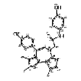 Cc1sc2c(c1C)C(c1ccc(Cl)cc1)=CN(CC(=O)Nc1ccc(O)cc1)c1nnc(C)n1-2